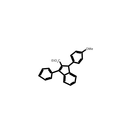 CCOC(=O)C1=C(c2ccccc2)c2ccccc2C1c1ccc(OC)cc1